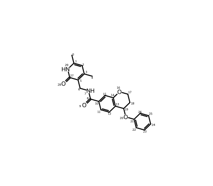 Cc1cc(C)c(CNC(=O)c2ccc3c(c2)OCCC3Oc2ccccc2)c(=O)[nH]1